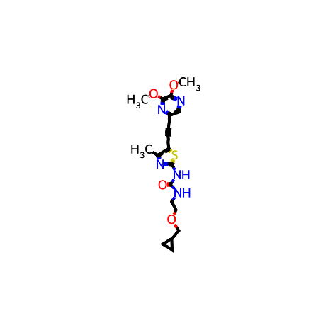 COc1ncc(C#Cc2sc(NC(=O)NCCOCC3CC3)nc2C)nc1OC